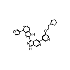 c1cc2[nH]c(-c3n[nH]c4cnc(-c5cncc(OCCN6CCCC6)c5)cc34)nc2c(-c2ccoc2)n1